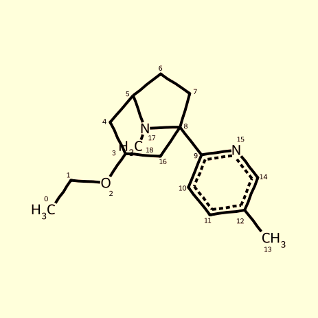 CCOC1CC2CCC(c3ccc(C)cn3)(C1)N2C